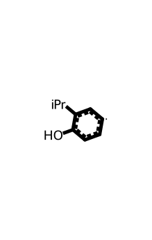 CC(C)c1c[c]ccc1O